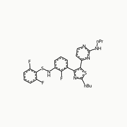 CCCCc1nc(-c2cccc(NSc3c(F)cccc3F)c2F)c(-c2ccnc(NCCC)n2)s1